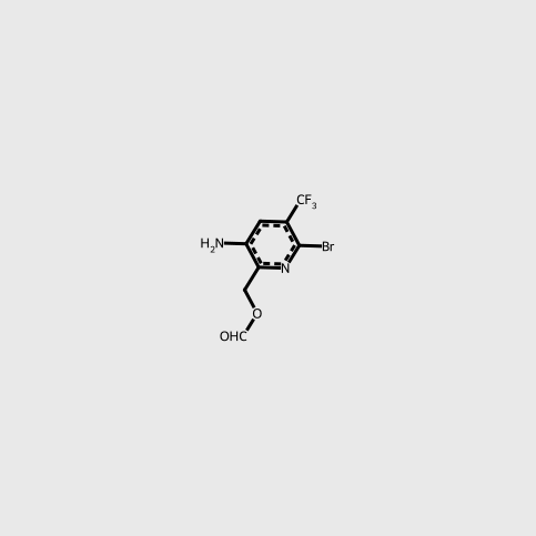 Nc1cc(C(F)(F)F)c(Br)nc1COC=O